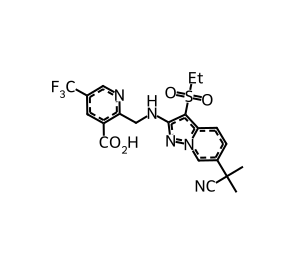 CCS(=O)(=O)c1c(NCc2ncc(C(F)(F)F)cc2C(=O)O)nn2cc(C(C)(C)C#N)ccc12